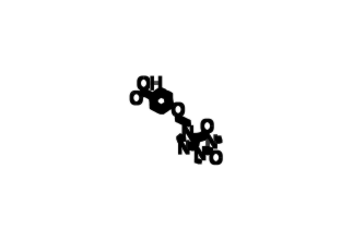 Cn1c(=O)c2c(ncn2CCOc2ccc(C(=O)O)cc2)n(C)c1=O